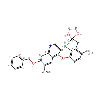 COc1cc2c(Oc3ccc([N+](=O)[O-])c(CC4(C)OCCO4)c3F)ccnc2cc1OCc1ccccc1